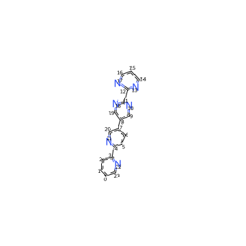 c1ccc(-c2ccc(-c3cnc(-c4ncccn4)nc3)cn2)nc1